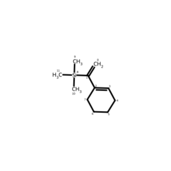 C=C(C1=CCCCC1)[Si](C)(C)C